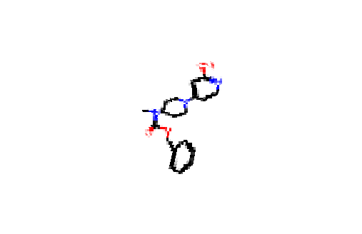 CN(C(=O)OCc1ccccc1)C1CCN(c2ccnc(O)c2)CC1